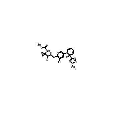 Cn1nnc(C2(F)C=CC=CC2c2cnc(CNC(=O)C3(NC(=O)OC(C)(C)C)CC3)c(Cl)c2)n1